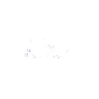 O=C(Nc1ccc(F)c(-c2nnc3n2CCCCC3)c1)C1CC(F)CN1